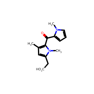 Cc1cc(CC(=O)O)n(C)c1C(=O)c1cccn1C